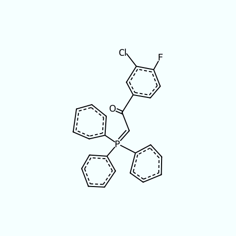 O=C(C=P(c1ccccc1)(c1ccccc1)c1ccccc1)c1ccc(F)c(Cl)c1